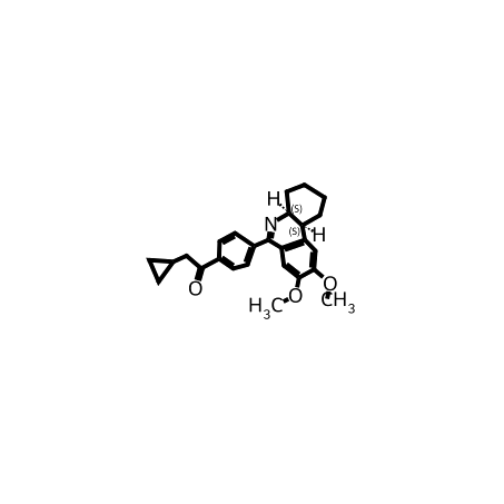 COc1cc2c(cc1OC)[C@@H]1CCCC[C@@H]1N=C2c1ccc(C(=O)CC2CC2)cc1